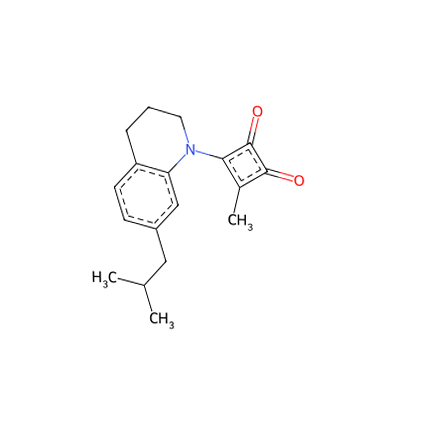 Cc1c(N2CCCc3ccc(CC(C)C)cc32)c(=O)c1=O